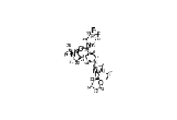 CC(C)c1cc(-c2ccc(C(=O)N3CCC(F)(F)CC3)c(-c3ccn(C(C)C)n3)c2)nn1C1CCCCO1